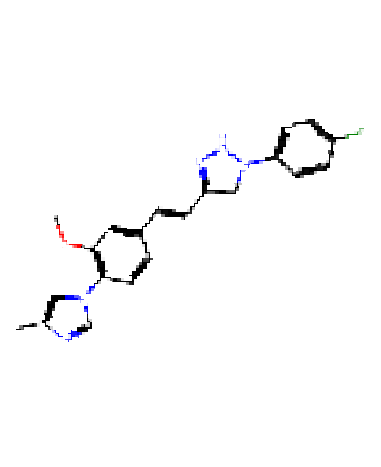 COc1cc(C=CC2=NNN(c3ccc(F)cc3)C2)ccc1-n1cnc(C)c1